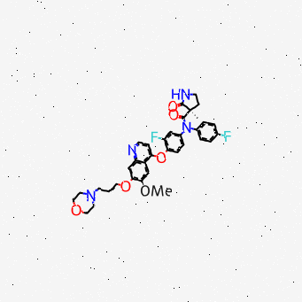 COc1cc2c(Oc3ccc(N(C(=O)[C@]4(C)CCNC4=O)c4ccc(F)cc4)cc3F)ccnc2cc1OCCCN1CCOCC1